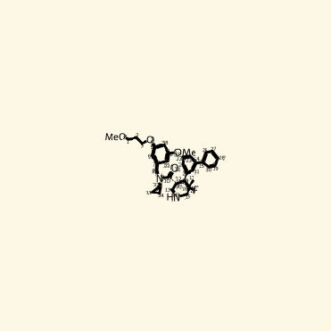 COCCCOc1cc(CN(C(=O)[C@H]2CNCC(C)(F)[C@@H]2c2cccc(-c3ccccc3)c2)C2CC2)cc(OC)c1